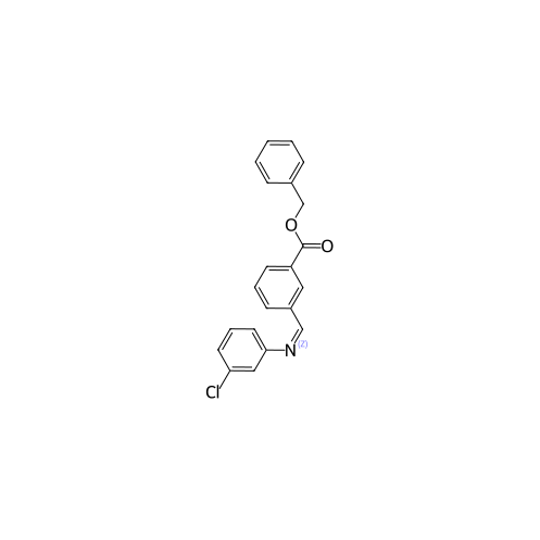 O=C(OCc1ccccc1)c1cccc(/C=N\c2cccc(Cl)c2)c1